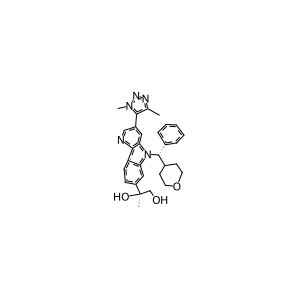 Cc1nnn(C)c1-c1cnc2c3ccc([C@](C)(O)CO)cc3n([C@H](c3ccccc3)C3CCOCC3)c2c1